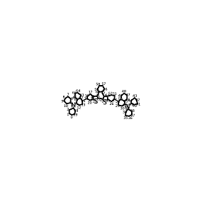 c1ccc(N(c2ccccc2)c2ccc(-c3ccc4c(c3)sc3c5sc6cc(-c7ccc(N(c8ccccc8)c8ccccc8)c8ccccc78)ccc6c5c5ccccc5c43)c3ccccc23)cc1